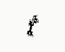 COc1cncc(-n2cc(C#Cc3ccnc(C)c3)nc2C)n1